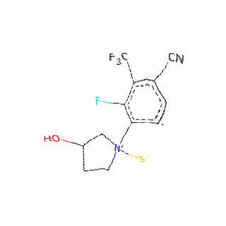 N#Cc1c[c]c([N+]2([S-])CCC(O)C2)c(F)c1C(F)(F)F